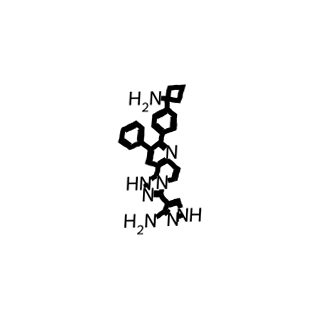 Nc1n[nH]cc1C1=NNC2c3cc(-c4ccccc4)c(-c4ccc(C5(N)CCC5)cc4)nc3C=CN12